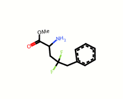 COC(=O)C(N)CC(F)(F)Cc1ccccc1